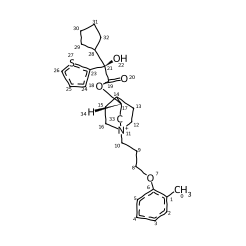 Cc1ccccc1OCCC[N+]12CCC(CC1)[C@@H](OC(=O)[C@](O)(c1cccs1)C1CCCC1)C2